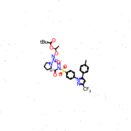 Cc1ccc(-c2cc(C(F)(F)F)nn2-c2ccc(S(=O)(=O)NC(=O)[C@@H]3CCCN3[N+]([O-])=NOC(C)OC(=O)C(C)(C)C)cc2)cc1